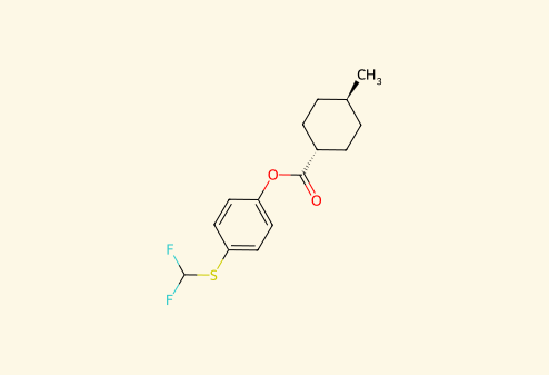 C[C@H]1CC[C@H](C(=O)Oc2ccc(SC(F)F)cc2)CC1